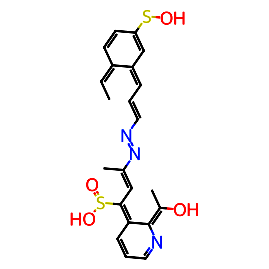 C/C=c1/ccc(SO)c/c1=C/C=C/N=N/C(C)=C/C(=c1/cccn/c1=C(/C)O)S(=O)O